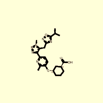 Cc1nc(-c2nnn(C)c2Cc2noc(C(C)C)n2)ccc1O[C@H]1CCC[C@H](C(=O)O)C1